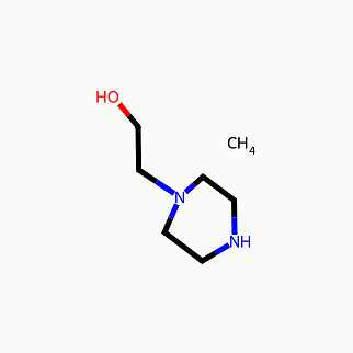 C.OCCN1CCNCC1